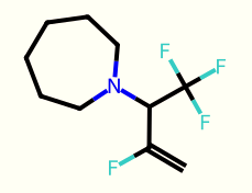 C=C(F)C(N1CCCCCC1)C(F)(F)F